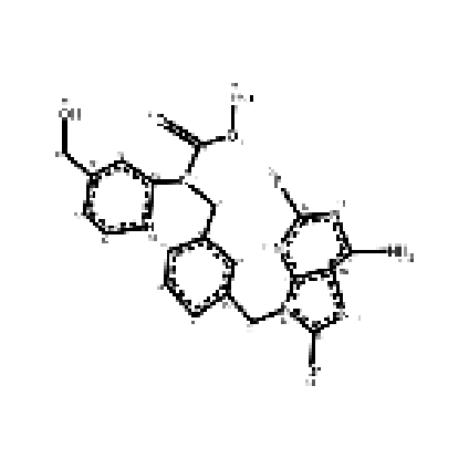 CC(C)(C)OC(=O)N(Cc1cccc(Cn2c(Br)nc3c(N)nc(F)nc32)c1)c1cc(CO)ccn1